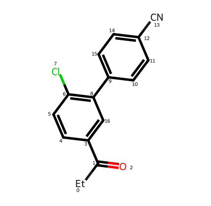 CCC(=O)c1ccc(Cl)c(-c2ccc(C#N)cc2)c1